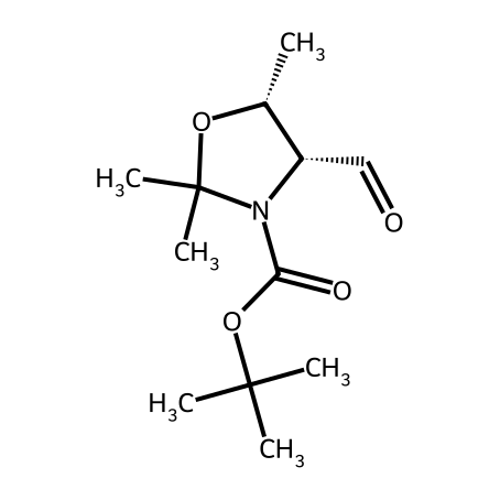 C[C@H]1OC(C)(C)N(C(=O)OC(C)(C)C)[C@H]1C=O